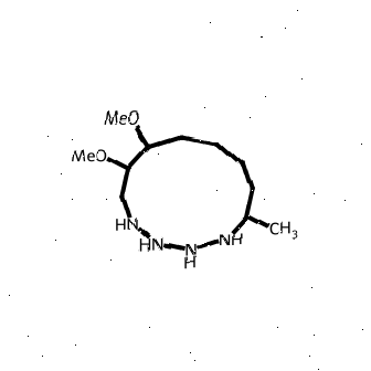 COC1CCCCC(C)NNNNCC1OC